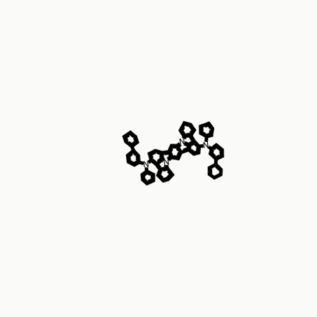 C1=CC(c2cccc(N(c3ccccc3)c3ccc4c5cc6c(cc5n5c7ccccc7c3c45)c3ccc(N(c4ccccc4)c4cccc(-c5ccccc5)c4)c4c5ccccc5n6c34)c2)=CCC1